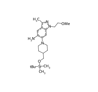 COCCn1nc(C)c2cc(N)c(N3CCC(CO[Si](C)(C)C(C)(C)C)CC3)cc21